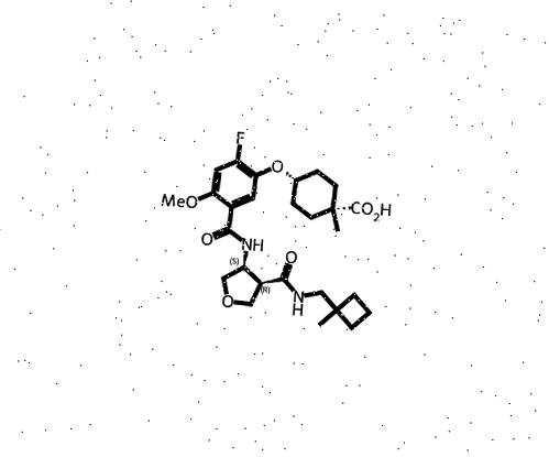 COc1cc(F)c(O[C@H]2CC[C@@](C)(C(=O)O)CC2)cc1C(=O)N[C@@H]1COC[C@@H]1C(=O)NCC1(C)CCC1